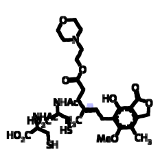 CC(=O)NC(CS)C(=O)O.CC(=O)NC(CS)C(=O)O.COc1c(C)c2c(c(O)c1C/C=C(\C)CCC(=O)OCCN1CCOCC1)C(=O)OC2